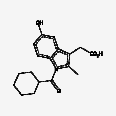 Cc1c(CC(=O)O)c2cc(O)ccc2n1C(=O)C1CCCCC1